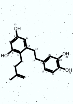 C=C(C)CCc1c(O)cc(O)cc1CCc1ccc(O)c(O)c1